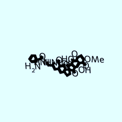 COC1=CC(=O)c2c(O)c3c(c(O)c2C1=O)C(=O)C1(CCc2cc4cc(C=NNC(=O)c5ccccc5N)[nH]c(=O)c4c(O)c21)C3=O